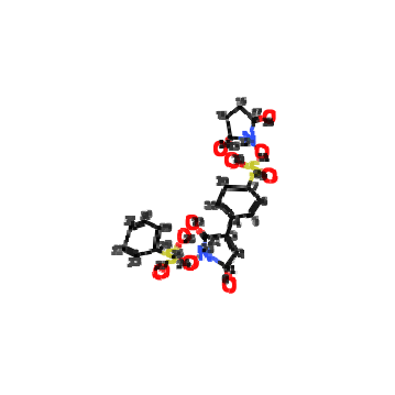 O=C1C=C(c2ccc(S(=O)(=O)ON3C(=O)CCC3=O)cc2)C(=O)N1OS(=O)(=O)c1ccccc1